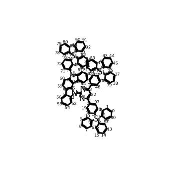 c1ccc([Si](c2ccccc2)(c2ccccc2)c2ccc(-c3cc(-c4ccc([Si](c5ccccc5)(c5ccccc5)c5ccccc5)cc4)nc(-n4c5ccccc5c5ccc6c(c7ccccc7n6-c6cccc([Si](c7ccccc7)(c7ccccc7)c7ccccc7)c6)c54)n3)cc2)cc1